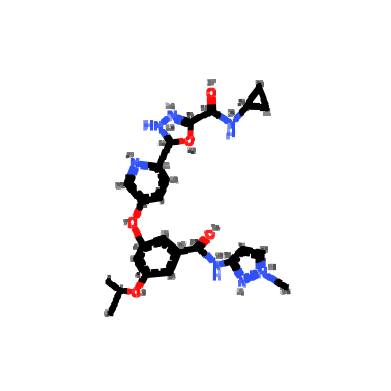 CC(C)Oc1cc(Oc2ccc(C3NN=C(C(=O)NC4CC4)O3)nc2)cc(C(=O)Nc2ccn(C)n2)c1